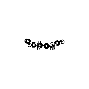 O=CC1CCN(c2nnc(-c3ccc(-c4cnc(N5CCC(OC6CCCCC6)CC5)nc4)cc3)s2)CC1